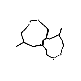 CC1CSSCC2C(C)CSSCC2C1